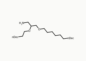 CCCCCCCCCCCCCCCCOCC(CN)OCCCCCCCCCCCC